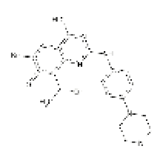 Cc1nc(Nc2ccc(N3CCNCC3)cc2)nc2c1cc(Br)c(=O)n2C(C)C